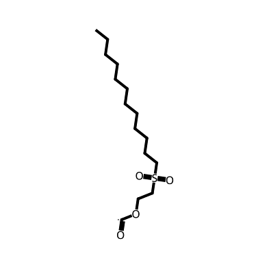 CCCCCCCCCCCCS(=O)(=O)CCO[C]=O